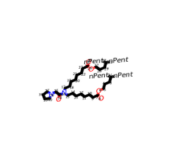 CCCCCC(CCCCC)CCCOC(=O)CCCCCCCN(CCCCCCCC(=O)OCCCC(CCCCC)CCCCC)C(=O)CN1CCCC1